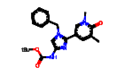 Cc1cc(-c2nc(NC(=O)OC(C)(C)C)cn2Cc2ccccc2)cn(C)c1=O